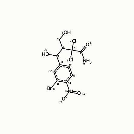 NC(=O)C(Cl)(Cl)C(CO)C(O)c1ccc([N+](=O)[O-])c(Br)c1